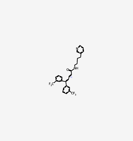 O=C(/C=C/C=C(c1cccc(C(F)(F)F)c1)c1cccc(C(F)(F)F)c1)NCCCCc1cccnc1